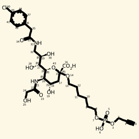 C#CCOP(=O)(O)OCCCCCCO[C@]1(C(=O)O)C[C@H](O)[C@@H](NC(=O)CO)[C@H]([C@H](O)[C@H](O)CNC(=O)Cc2ccc(Cl)cc2)O1